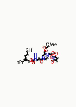 C#CCC[C@@H]1[C@H](CCC)[C@@H]1COC(=O)NCCC(=O)N1CCN(CC(=O)ON2C(=O)CCC2=O)C(COC(=O)COC)C1